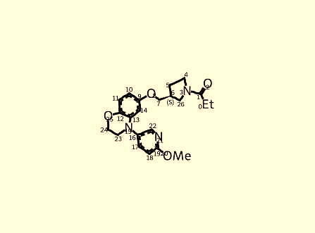 CCC(=O)N1CC[C@H](COc2ccc3c(c2)N(c2ccc(OC)nc2)CCO3)C1